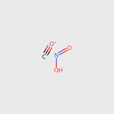 O=NO.[C-]#[O+]